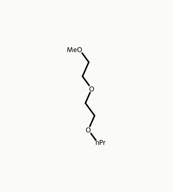 [CH2]CCOCCOCCO[CH2]